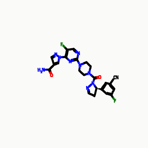 N#Cc1cc(F)cc([C@@H]2CC=NN2C(=O)N2CCN(c3ncc(F)c(-n4cc(C(N)=O)cn4)n3)CC2)c1